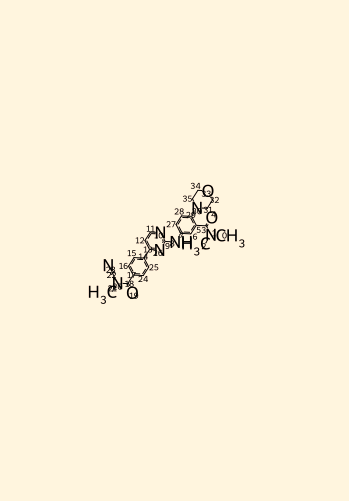 CN(C)C(=O)c1cc(Nc2nccc(-c3ccc(C(=O)N(C)C#N)cc3)n2)ccc1N1CCOCC1